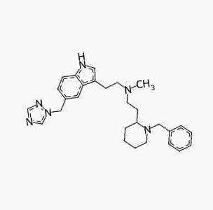 CN(CCc1c[nH]c2ccc(Cn3cncn3)cc12)CCC1CCCCN1Cc1ccccc1